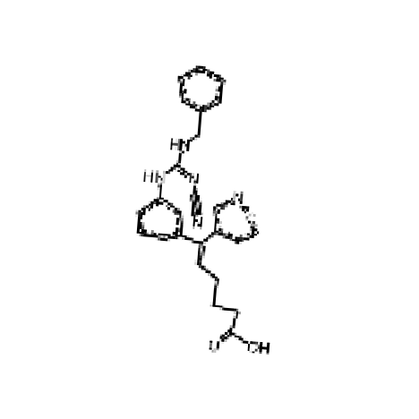 N#CN=C(NCc1ccccc1)Nc1cccc(C(=CCCCC(=O)O)c2cccnc2)c1